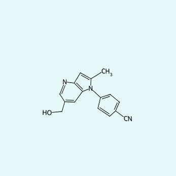 Cc1cc2ncc(CO)cc2n1-c1ccc(C#N)cc1